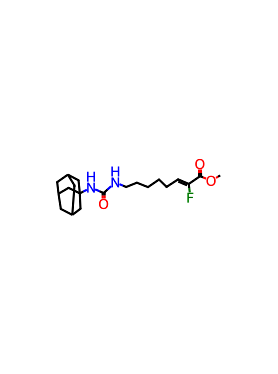 COC(=O)C(F)=CCCCCCNC(=O)NC12CC3CC(CC(C3)C1)C2